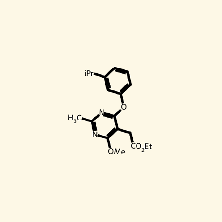 CCOC(=O)Cc1c(OC)nc(C)nc1Oc1cccc(C(C)C)c1